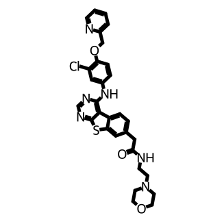 O=C(Cc1ccc2c(c1)sc1ncnc(Nc3ccc(OCc4ccccn4)c(Cl)c3)c12)NCCN1CCOCC1